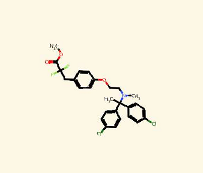 COC(=O)C(F)(F)Cc1ccc(OCCN(C)C(C)(c2ccc(Cl)cc2)c2ccc(Cl)cc2)cc1